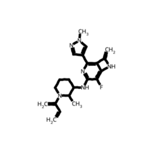 C=CC(=C)N1CCCC(Nc2nc(-c3cnn(C)c3)c3c(c2F)NC3=C)C1C